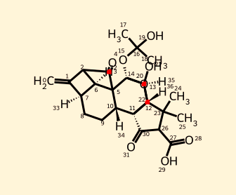 C=C1C2C(=O)C34[C@H]2[C@H]1CC[C@H]3[C@@]12CO[C@@]4(OC(C)(C)O)[C@@H](O)[C@@H]1C(C)(C)C(C(=O)O)C2=O